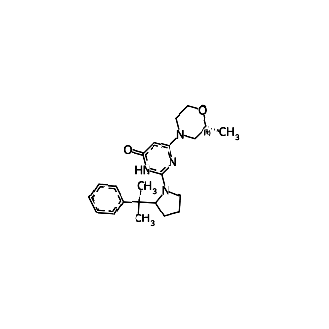 C[C@@H]1CN(c2cc(=O)[nH]c(N3CCCC3C(C)(C)c3ccccc3)n2)CCO1